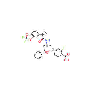 O=C(O)c1ccc([C@H]2C[C@H](NC(=O)C3(c4ccc5c(c4)OC(F)(F)O5)CC3)C[C@@H](c3ccccc3)O2)cc1F